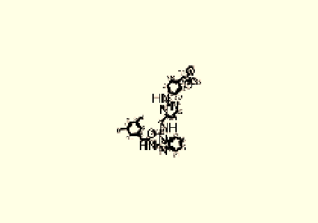 Cc1cc(C)cc(CC(=O)Nc2nc3ccccc3n2CNCc2ccnc(Nc3ccc(CS(C)(=O)=O)cc3)n2)c1